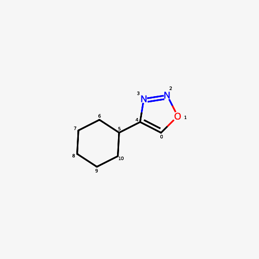 c1onnc1C1CCCCC1